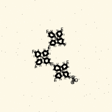 Fc1ccc([N+](c2ccc(F)cc2)(c2ccc(F)cc2)c2ccc(F)cc2)cc1.Fc1ccc([N+](c2ccc(F)cc2)(c2ccc(F)cc2)c2ccc(F)cc2)cc1.Fc1ccc([N+](c2ccc(F)cc2)(c2ccc(F)cc2)c2ccc(F)cc2)cc1.[O-]B([O-])[O-]